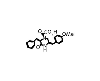 COc1ccc(C=C2CN(C(=O)C(=O)O)C(=Cc3ccccc3)C(=O)N2)cc1